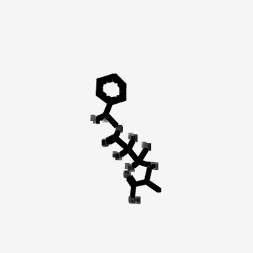 [2H][C@H](OC(=O)C([2H])([2H])C([2H])([2H])NC(C)C(=O)O)c1ccccc1